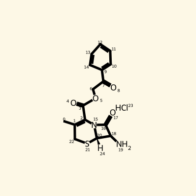 CC1=C(C(=O)OCC(=O)c2ccccc2)N2C(=O)C(N)[C@@H]2SC1.Cl